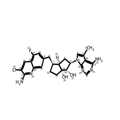 Cc1cn([C@@H]2C[C@@H]3[C@H](Cc4cc(F)c5cc(Cl)c(N)nc5c4)CC[C@]3(O)[C@H]2O)c2ncnc(N)c12